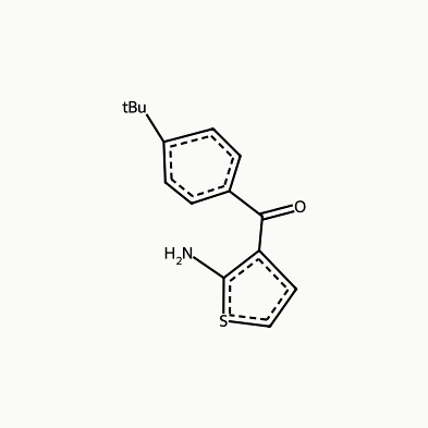 CC(C)(C)c1ccc(C(=O)c2ccsc2N)cc1